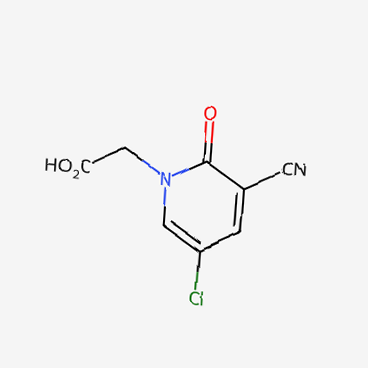 N#Cc1cc(Cl)cn(CC(=O)O)c1=O